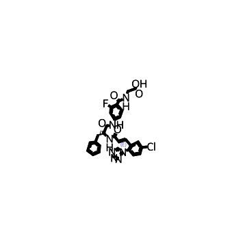 O=C(O)CNC(=O)c1ccc(NC(=O)[C@H](Cc2ccccc2)NC(=O)/C=C/c2cc(Cl)ccc2-n2cnnn2)cc1F